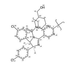 CCOc1nc(C(C)(C)C)ncc1C1=N[C@@](C)(c2ccc(Cl)cc2)[C@@](C)(c2ccc(Cl)cc2)N1C(=O)N1CCCC(CO)C1